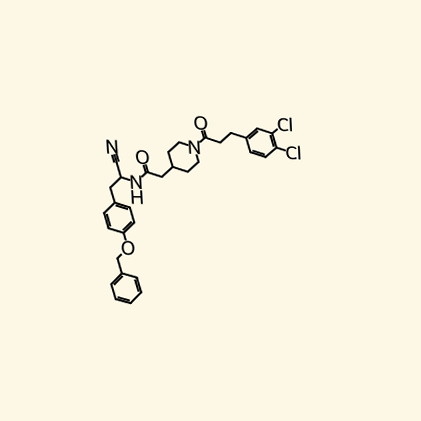 N#CC(Cc1ccc(OCc2ccccc2)cc1)NC(=O)CC1CCN(C(=O)CCc2ccc(Cl)c(Cl)c2)CC1